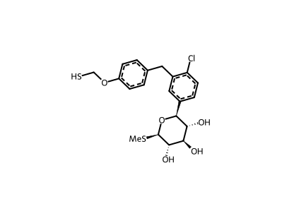 CS[C@H]1O[C@@H](c2ccc(Cl)c(Cc3ccc(OCS)cc3)c2)[C@H](O)[C@@H](O)[C@@H]1O